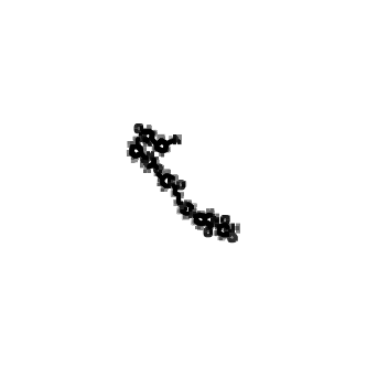 N#Cc1cccc(-c2ccc(=O)n(Cc3cccc(-c4ncc(OCC5CCN(C(=O)CCCN6CCN(c7ccc8c(=O)n(C9CCC(=O)NC9=O)ncc8c7)CC6)CC5)cn4)c3)n2)c1